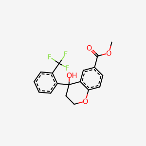 COC(=O)c1ccc2c(c1)C(O)(c1ccccc1C(F)(F)F)CCO2